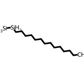 CCCCCCCCCCCCCC[SiH2][SiH3]